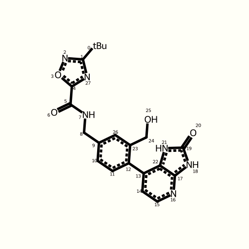 CC(C)(C)c1noc(C(=O)NCc2ccc(-c3ccnc4[nH]c(=O)[nH]c34)c(CO)c2)n1